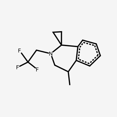 CC1CN(CC(F)(F)F)C2(CC2)c2ccccc21